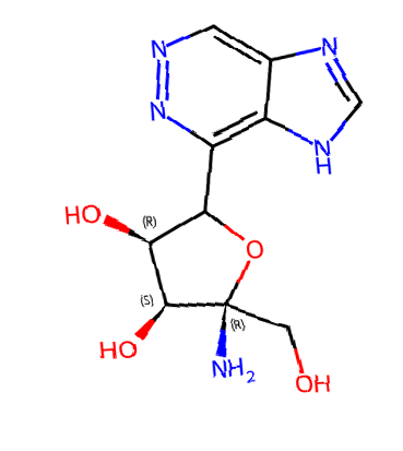 N[C@]1(CO)OC(c2nncc3nc[nH]c23)[C@H](O)[C@@H]1O